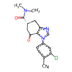 CN(C)C(=O)[C@H]1CC(=O)c2c(ncn2-c2ccc(C#N)c(Cl)c2)C1